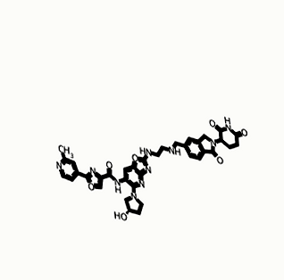 Cc1cc(-c2nc(C(=O)Nc3cc4oc(NCCNCc5ccc6c(c5)CN(C5CCC(=O)NC5=O)C6=O)nc4nc3N3CC[C@@H](O)C3)co2)ccn1